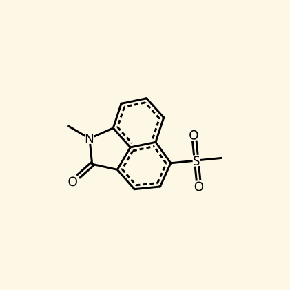 CN1C(=O)c2ccc(S(C)(=O)=O)c3cccc1c23